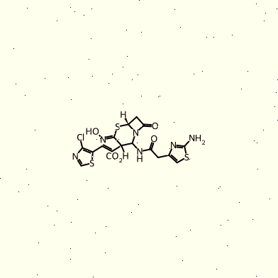 Nc1nc(CC(=O)NC2N3C(=O)C[C@H]3SC(=NO)C2(C=Cc2scnc2Cl)C(=O)O)cs1